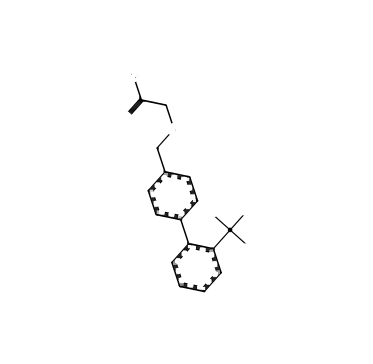 C[C@H](NCc1ccc(-c2ccccc2C(F)(F)F)cc1)C(N)=O